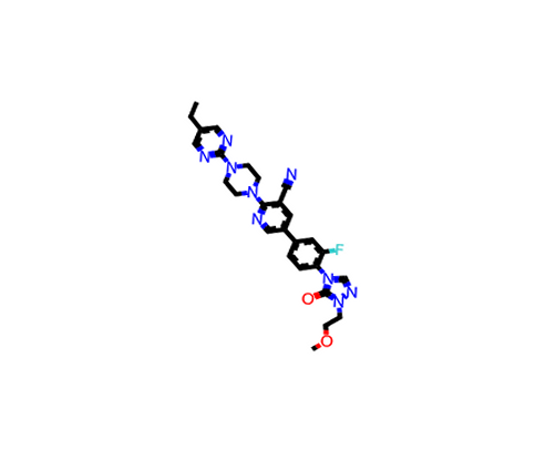 CCc1cnc(N2CCN(c3ncc(-c4ccc(-n5cnn(CCOC)c5=O)c(F)c4)cc3C#N)CC2)nc1